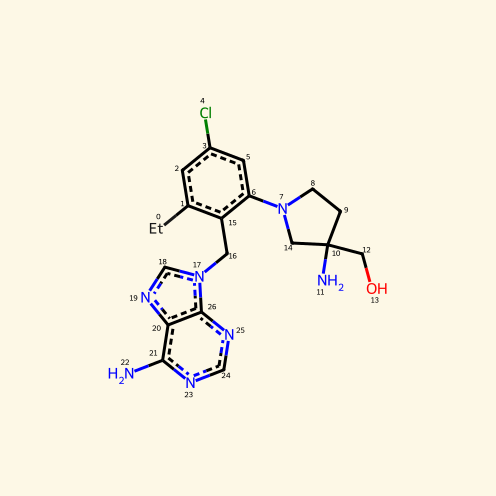 CCc1cc(Cl)cc(N2CCC(N)(CO)C2)c1Cn1cnc2c(N)ncnc21